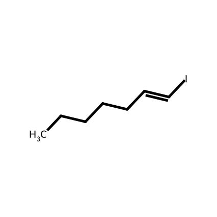 CCCCCC=CI